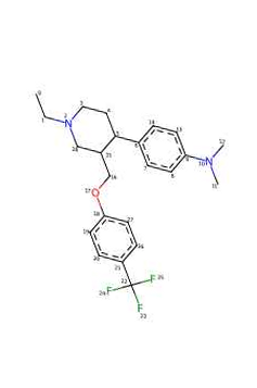 CCN1CCC(c2ccc(N(C)C)cc2)C(COc2ccc(C(F)(F)F)cc2)C1